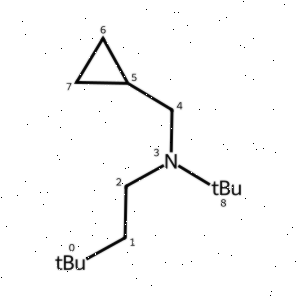 CC(C)(C)CCN(CC1CC1)C(C)(C)C